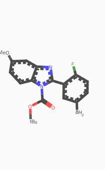 Bc1ccc(F)c(-c2nc3cc(OC)ccc3n2C(=O)OC(C)(C)C)c1